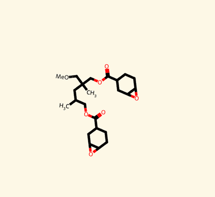 COCC(C)(COC(=O)C1CCC2OC2C1)CC(C)COC(=O)C1CCC2OC2C1